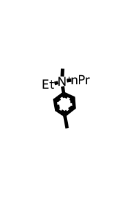 CCC[N+](C)(CC)c1ccc(C)cc1